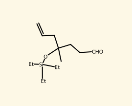 C=CCC(C)(CCC=O)O[Si](CC)(CC)CC